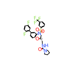 O=C(NCC[C@H]1CN(S(=O)(=O)c2cccc(C(F)(F)F)c2)c2cc(-c3cc(F)ccc3F)ccc2O1)N1CCCC1